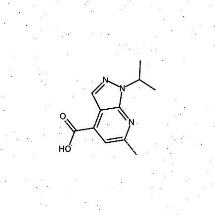 Cc1cc(C(=O)O)c2cnn(C(C)C)c2n1